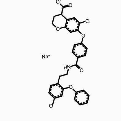 O=C(NCCc1ccc(Cl)cc1Oc1ccccc1)c1ccc(Oc2cc3c(cc2Cl)C(C(=O)[O-])CCO3)cc1.[Na+]